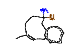 CC1=Cc2ccccc2C(N)(S)CC1